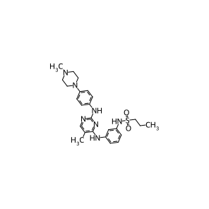 CCCS(=O)(=O)Nc1cccc(Nc2nc(Nc3ccc(N4CCN(C)CC4)cc3)ncc2C)c1